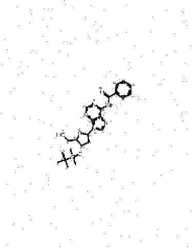 CC(C)(C)[Si](C)(C)O[C@H]1CC(n2cnc3c(NC(=O)c4ccccc4)ncnc32)OC1CO